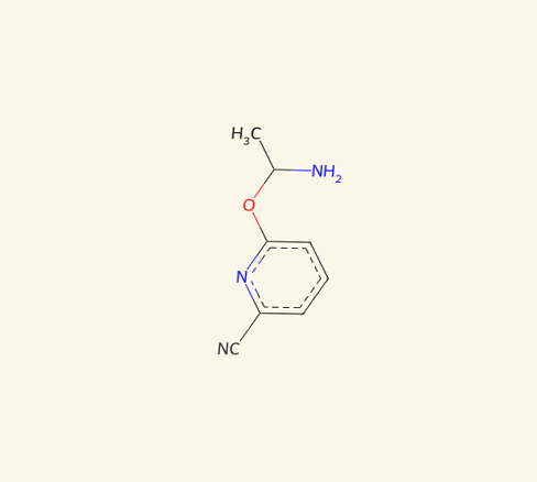 CC(N)Oc1cccc(C#N)n1